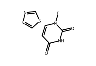 O=c1ccn(F)c(=O)[nH]1.c1nncs1